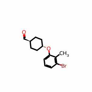 Cc1c(Br)cccc1O[C@H]1CC[C@H](C=O)CC1